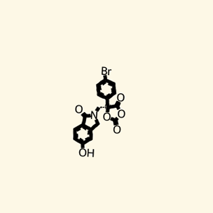 O=C1OC(=O)[C@](CN2Cc3cc(O)ccc3C2=O)(c2ccc(Br)cc2)O1